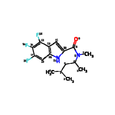 CC(C)CC(C)N(C)C(=O)c1cc2c(F)c(F)c(F)cc2[nH]1